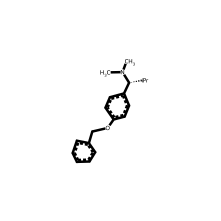 CC(C)[C@H](c1ccc(OCc2ccccc2)cc1)N(C)C